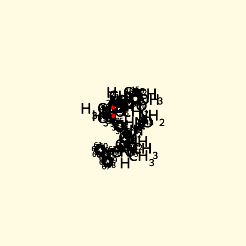 CC(=O)OCC1(C)C=C2C(=O)C(C)(O)C3(CC3)C(C)=C2C1OC(=O)N(C)CCN(C)C(=O)OCc1ccc(NC(=O)[C@H](CCCNC(N)=O)NC(=O)[C@@H](NC(=O)OCC2c3ccccc3-c3ccccc32)C(C)C)cc1